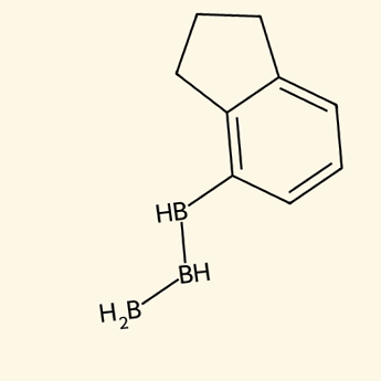 BBBc1cccc2c1CCC2